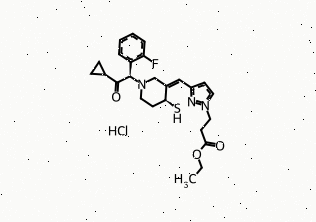 CCOC(=O)CCn1ccc(/C=C2/CN([C@@H](C(=O)C3CC3)c3ccccc3F)CC[C@@H]2S)n1.Cl